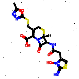 Cc1nnc(SCC2=C(C(=O)O)N3C(=O)C(NC(=O)Cc4csc(=N)n4O)[C@H]3SC2)o1